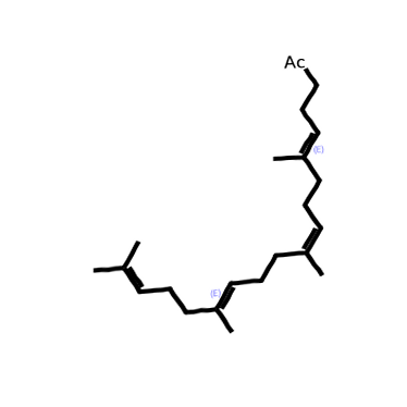 CC(=O)CC/C=C(\C)CCC=C(C)CC/C=C(\C)CCC=C(C)C